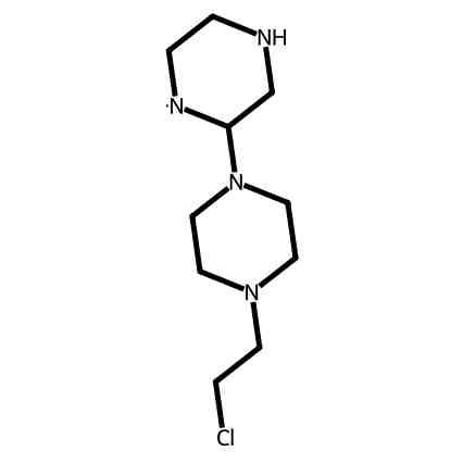 ClCCN1CCN(C2CNCC[N]2)CC1